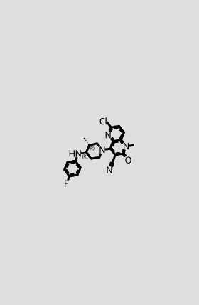 C[C@@H]1CN(c2c(C#N)c(=O)n(C)c3ccc(Cl)nc23)CC[C@H]1Nc1ccc(F)cc1